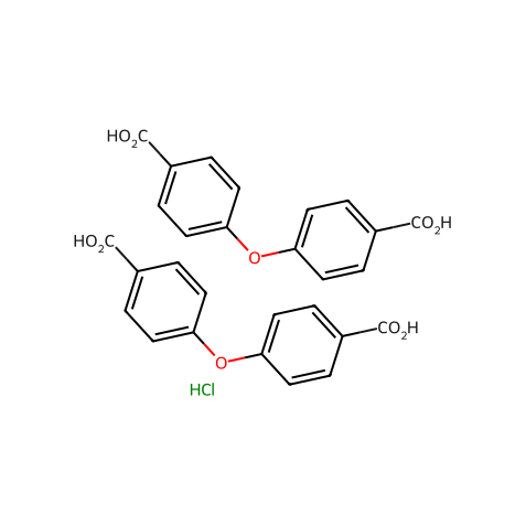 Cl.O=C(O)c1ccc(Oc2ccc(C(=O)O)cc2)cc1.O=C(O)c1ccc(Oc2ccc(C(=O)O)cc2)cc1